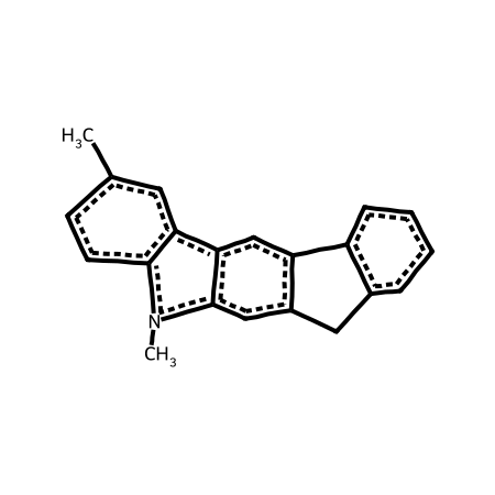 Cc1ccc2c(c1)c1cc3c(cc1n2C)Cc1ccccc1-3